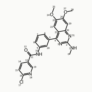 CNc1nc(-c2cccc(NC(=O)c3ccc(Cl)nc3)c2)c2cc(OC)c(OC)cc2n1